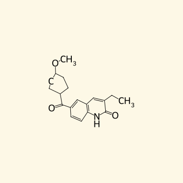 CCc1cc2cc(C(=O)C3CCC(OC)CC3)ccc2[nH]c1=O